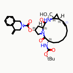 C=C1CN(C(=O)O[C@@H]2C[C@H]3C(=O)N[C@]4(C(=O)O)C[C@H]4/C=C\CCCCC[C@H](NC(=O)OC(C)(C)C)C(=O)N3C2)Cc2ccccc21